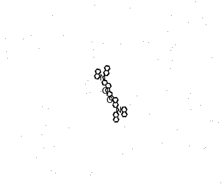 c1ccc2cc(N(c3ccc4c(ccc5c6cc7c(cc6oc45)oc4c5ccc(N(c6ccc8ccccc8c6)c6cccc8ccccc68)cc5ccc74)c3)c3cccc4ccccc34)ccc2c1